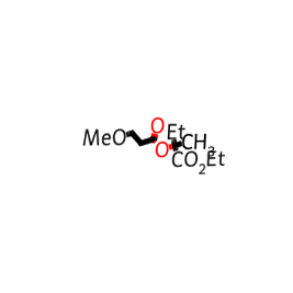 CCOC(=O)C(C)(CC)OC(=O)CCOC